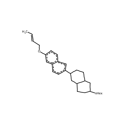 CC=CCOc1ccc2cc(C3CCC4CC(CCCCCC)CCC4C3)ccc2c1